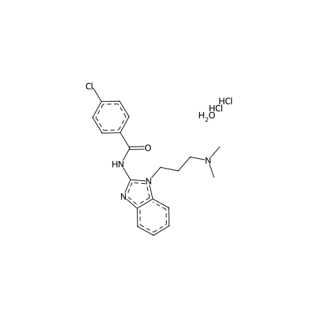 CN(C)CCCn1c(NC(=O)c2ccc(Cl)cc2)nc2ccccc21.Cl.Cl.O